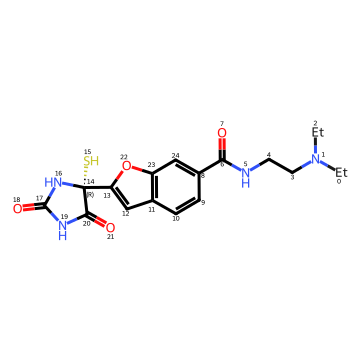 CCN(CC)CCNC(=O)c1ccc2cc([C@]3(S)NC(=O)NC3=O)oc2c1